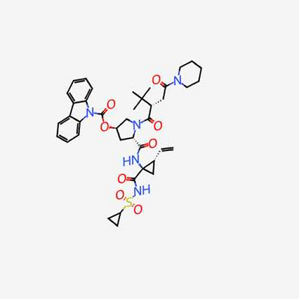 C=C[C@@H]1C[C@]1(NC(=O)[C@@H]1C[C@@H](OC(=O)n2c3ccccc3c3ccccc32)CN1C(=O)[C@@H](CC(=O)N1CCCCC1)C(C)(C)C)C(=O)NS(=O)(=O)C1CC1